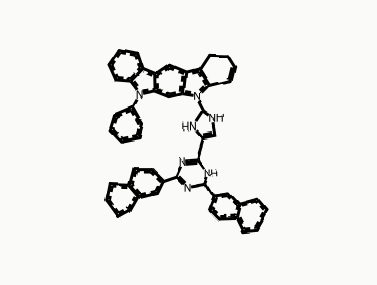 C1=Cc2c(c3cc4c5ccccc5n(-c5ccccc5)c4cc3n2C2NC=C(C3=NC(c4ccc5ccccc5c4)=NC(c4ccc5ccccc5c4)N3)N2)CC1